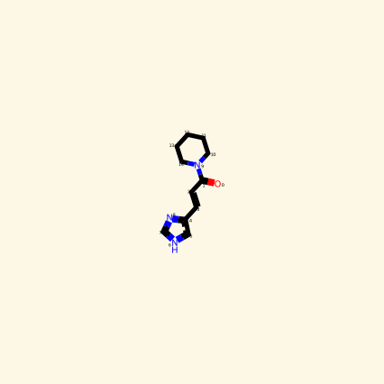 O=C(C=Cc1c[nH]cn1)N1CCCCC1